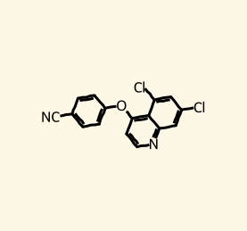 N#Cc1ccc(Oc2ccnc3cc(Cl)cc(Cl)c23)cc1